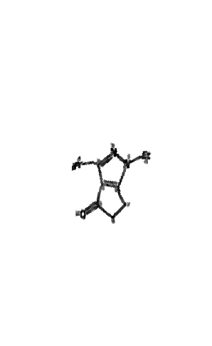 CCn1nc(C(C)C)c2c1CCC2=O